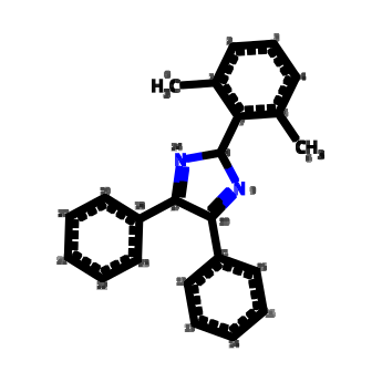 Cc1cccc(C)c1C1N=C(c2ccccc2)C(c2ccccc2)=N1